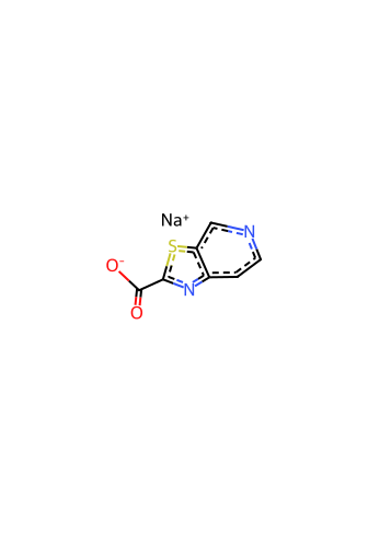 O=C([O-])c1nc2ccncc2s1.[Na+]